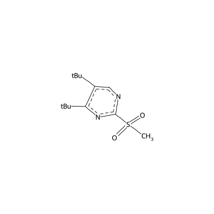 CC(C)(C)c1cnc(S(C)(=O)=O)nc1C(C)(C)C